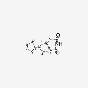 O=C1Cc2cc(C3CCCC3)ccc2C(=O)N1